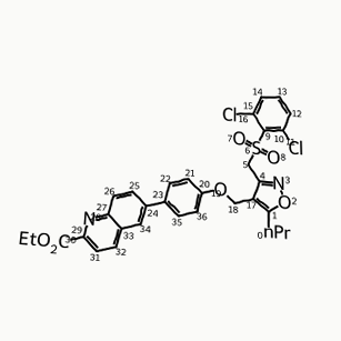 CCCc1onc(CS(=O)(=O)c2c(Cl)cccc2Cl)c1COc1ccc(-c2ccc3nc(C(=O)OCC)ccc3c2)cc1